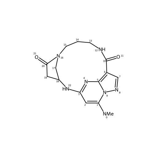 CNc1cc2nc3c(cnn13)C(=O)NCCCN1CC(CC1=O)N2